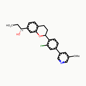 COc1cncc(-c2ccc(C3CCc4ccc([C@H](O)CC(=O)O)cc4O3)c(F)c2)c1